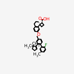 Cc1ccc(F)c(-c2ccc(COc3ccc4c(c3)[C@]3(CCC4)CC[C@@H]3C(=O)O)cc2C2=CCCC2(C)C)c1